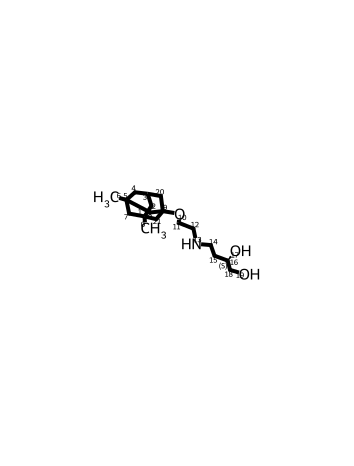 CC12CC3CC(C)(C1)CC(OCCNCC[C@H](O)CO)(C3)C2